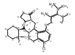 CN(N)/C(=C(\N)COc1ccc(Cl)c2c1C(CN1CCCC1=O)N(C(=O)[C@@H]1CCCC[C@]1(F)C(=O)O)CC2)C(F)F